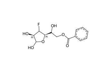 O=C(OCC(O)[C@H]1OC(O)[C@@H](O)C1F)c1ccccc1